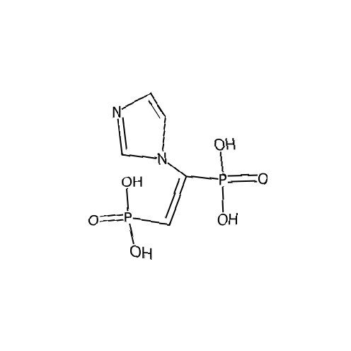 O=P(O)(O)C=C(n1ccnc1)P(=O)(O)O